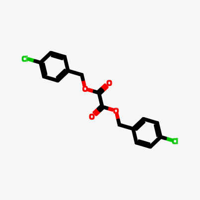 O=C(OCc1ccc(Cl)cc1)C(=O)OCc1ccc(Cl)cc1